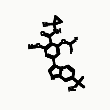 CCC1(NC(=O)c2c(OC)cc(-c3cnc4cc(C(C)(C)C#N)ccn34)cc2OC(F)F)CC1